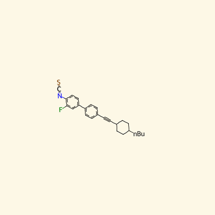 CCCCC1CCC(C#Cc2ccc(-c3ccc(N=C=S)c(F)c3)cc2)CC1